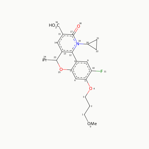 COCCCOc1cc2c(cc1F)-c1c(cc(C(=O)O)c(=O)n1C1CC1)C(C(C)C)O2